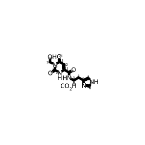 O=C(N[C@@H](Cc1c[nH]cn1)C(=O)O)c1cc(=O)n(CO)c(=O)[nH]1